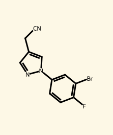 N#CCc1cnn(-c2ccc(F)c(Br)c2)c1